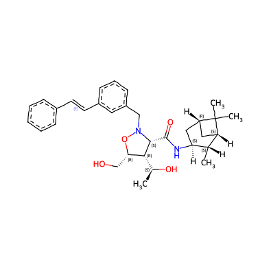 C[C@@H]1[C@@H](NC(=O)[C@@H]2[C@H]([C@H](C)O)[C@H](CO)ON2Cc2cccc(/C=C/c3ccccc3)c2)C[C@H]2C[C@@H]1C2(C)C